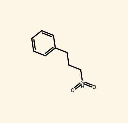 O=[SH](=O)CCCc1ccccc1